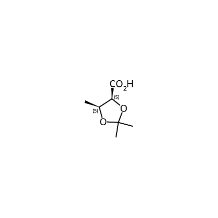 C[C@@H]1OC(C)(C)O[C@@H]1C(=O)O